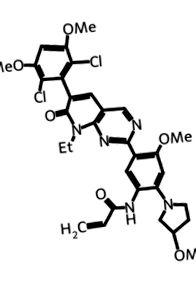 C=CC(=O)Nc1cc(-c2ncc3cc(-c4c(Cl)c(OC)cc(OC)c4Cl)c(=O)n(CC)c3n2)c(OC)cc1N1CCC(OC)C1